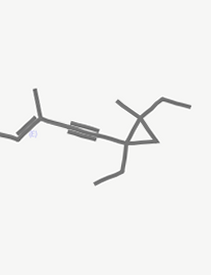 C/C=C(\C)C#CC1(CC)CC1(C)CC